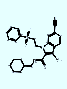 N#Cc1ccc2c(N)c(C(=O)NCC3CCCCC3)n(CCS(=O)(=O)c3ccccc3)c2c1